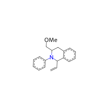 C=CC1c2ccccc2CC(COC)N1c1ccccc1